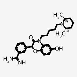 C[C@@H]1CCC[C@H](C)N1CCCCCN1C(=O)C(c2cccc(C(=N)N)c2)Oc2ccc(O)cc21